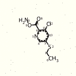 CCSc1cnc(C(=O)ON)c(Cl)c1